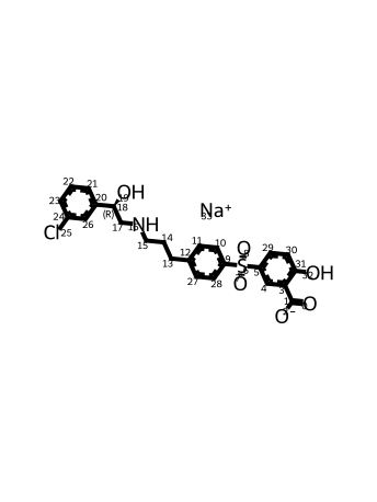 O=C([O-])c1cc(S(=O)(=O)c2ccc(CCCNC[C@H](O)c3cccc(Cl)c3)cc2)ccc1O.[Na+]